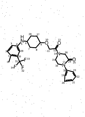 Cc1ccc(NC2CCC(OCC(=O)N3CCN(c4ccccc4)C(=O)C3)CC2)cc1C(F)(F)F